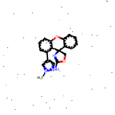 Cn1cc(-c2cccc3c2C2(COC(N)=N2)c2ccccc2O3)cn1